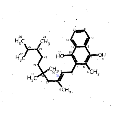 C/C(=C\Cc1c(C)c(O)c2ccccc2c1O)CC(C)(C)CCC(C)C(C)C